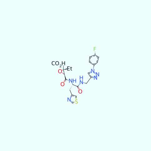 CC[C@]1(C(=O)O)O[C@@H]1C(=O)N[C@@H](Cc1cscn1)C(=O)NCc1cn(-c2ccc(F)cc2)nn1